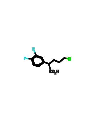 O=C(O)C(CCCCl)c1ccc(F)c(F)c1